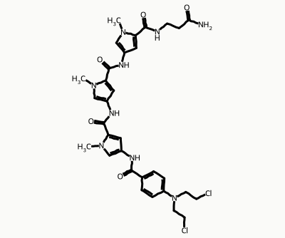 Cn1cc(NC(=O)c2cc(NC(=O)c3cc(NC(=O)c4ccc(N(CCCl)CCCl)cc4)cn3C)cn2C)cc1C(=O)NCCC(N)=O